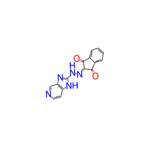 O=c1c(=NNc2nc3cnccc3[nH]2)c(=O)c2ccccc12